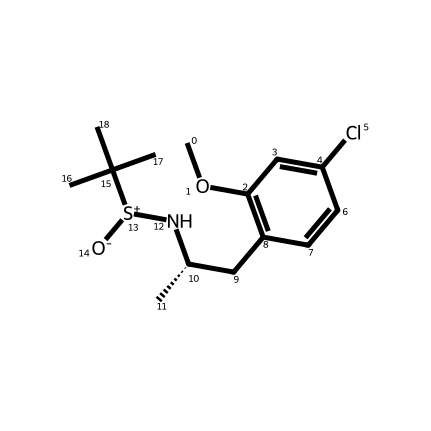 COc1cc(Cl)ccc1C[C@H](C)N[S+]([O-])C(C)(C)C